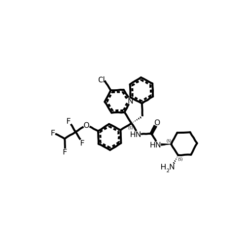 N[C@H]1CCCC[C@@H]1NC(=O)N[C@@](Cc1ccccc1)(c1cccc(OC(F)(F)C(F)F)c1)c1ccc(Cl)cn1